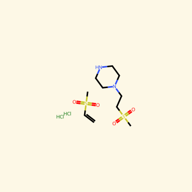 C=CS(C)(=O)=O.CS(=O)(=O)CCN1CCNCC1.Cl.Cl